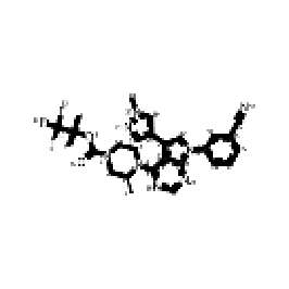 C[C@H]1CN(C(=O)OC(C)(C)C(F)(F)F)CCN1c1ncnc2c1c(-c1cnn(C)c1)cn2-c1cccc(C#N)c1